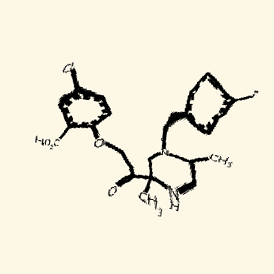 CC1CNC(C)(C(=O)COc2ccc(Cl)cc2C(=O)O)CN1Cc1ccc(F)cc1